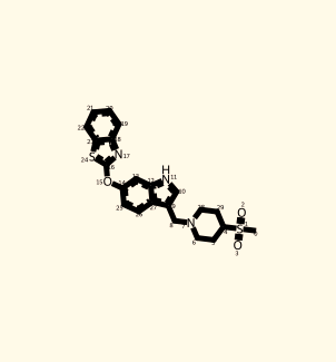 CS(=O)(=O)C1CCN(Cc2c[nH]c3cc(Oc4nc5ccccc5s4)ccc23)CC1